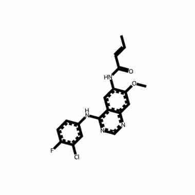 CC=CC(=O)Nc1cc2c(Nc3ccc(F)c(Cl)c3)ncnc2cc1OC